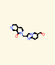 O=Cc1ccc2nc(Cn3ccc4ccncc4c3=O)cn2c1